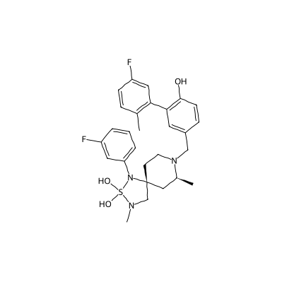 Cc1ccc(F)cc1-c1cc(CN2CC[C@@]3(C[C@@H]2C)CN(C)S(O)(O)N3c2cccc(F)c2)ccc1O